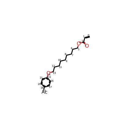 C=CC(=O)OCCCCCCCCCOc1ccc(C(C)=O)cc1